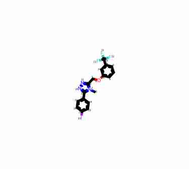 Cn1c(COc2cccc(C(F)(F)F)c2)nnc1-c1ccc(I)cc1